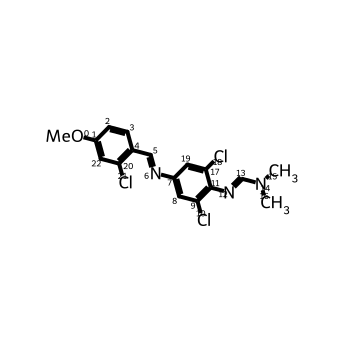 COc1ccc(C=Nc2cc(Cl)c(N=CN(C)C)c(Cl)c2)c(Cl)c1